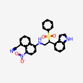 N#Cc1cccc2c(NCC(c3cccc4[nH]ccc34)S(=O)(=O)c3ccccc3)ccc([N+](=O)[O-])c12